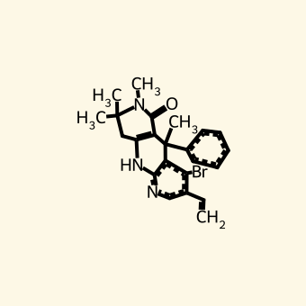 C=Cc1cnc2c(c1Br)C(C)(c1ccccc1)C1=C(CC(C)(C)N(C)C1=O)N2